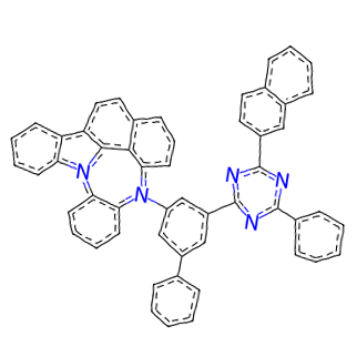 c1ccc(-c2cc(-c3nc(-c4ccccc4)nc(-c4ccc5ccccc5c4)n3)cc(-n3c4cccc5ccc6c7ccccc7n(c7ccccc73)c6c54)c2)cc1